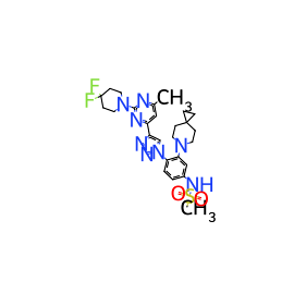 Cc1cc(-c2cn(-c3ccc(NS(C)(=O)=O)cc3N3CCC4(CC3)CC4)nn2)nc(N2CCC(F)(F)CC2)n1